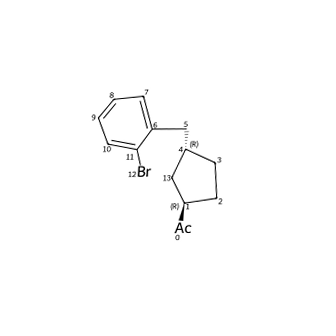 CC(=O)[C@@H]1CC[C@@H](Cc2ccccc2Br)C1